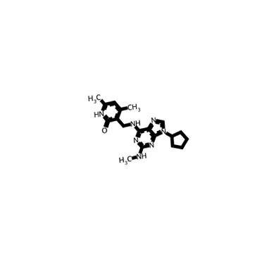 CNc1nc(NCc2c(C)cc(C)[nH]c2=O)c2ncn(C3CCCC3)c2n1